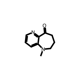 CN1CCCC(=O)c2ncccc21